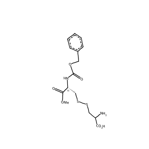 COC(=O)[C@@H](CSSCC(N)C(=O)O)NC(=O)OCc1ccccc1